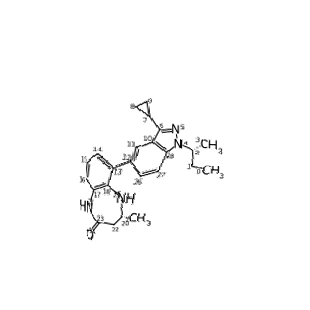 CC[C@@H](C)n1nc(C2CC2)c2cc(-c3cccc4c3N[C@H](C)CC(=O)N4)ccc21